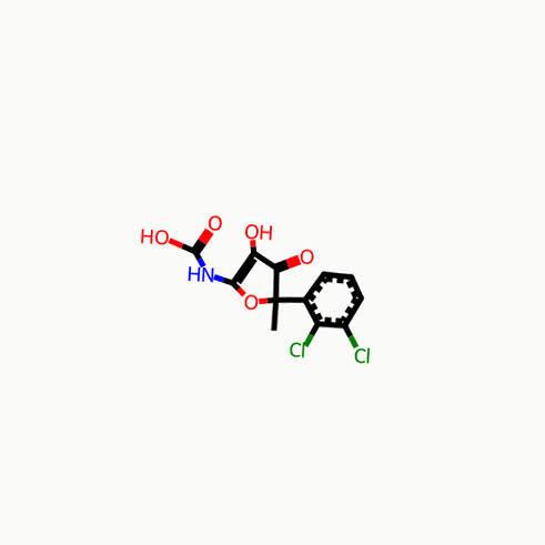 CC1(c2cccc(Cl)c2Cl)OC(NC(=O)O)=C(O)C1=O